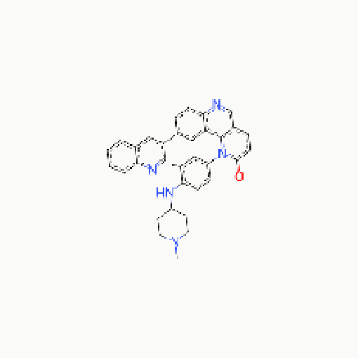 Cc1cc(-n2c(=O)ccc3cnc4ccc(-c5cnc6ccccc6c5)cc4c32)ccc1NC1CCN(C)CC1